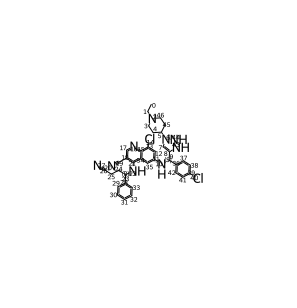 CCN1CCC(N2C=C([C@@H](Nc3cc(Cl)c4ncc(C#N)c(N[C@H](CCC#N)c5ccccc5)c4c3)c3ccc(Cl)cc3)NN2)CC1